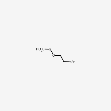 CCCCCOSC(=O)O